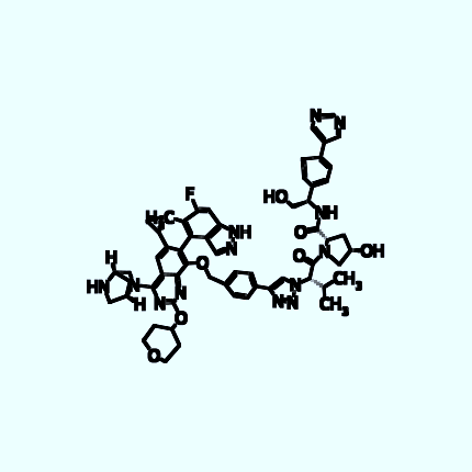 Cc1c(F)cc2[nH]ncc2c1-c1c(C2CC2)cc2c(N3C[C@@H]4C[C@H]3CN4)nc(OC3CCOCC3)nc2c1OCc1ccc(-c2cn([C@H](C(=O)N3C[C@H](O)C[C@H]3C(=O)N[C@@H](CO)c3ccc(-c4cncnc4)cc3)C(C)C)nn2)cc1